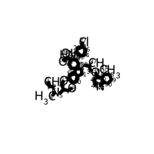 C=CCN(C)CC1COc2cc3c(cc2OC1)C1(CCC(Nc2cccc(Cl)c2)(C(=O)O)CC1)[C@@H](C[C@@H](C)COc1ccnc2c1[C@H](C)CCC2)C3